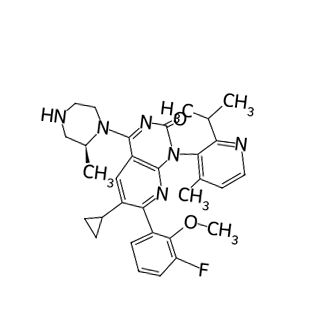 COc1c(F)cccc1-c1nc2c(cc1C1CC1)c(N1CCNC[C@@H]1C)nc(=O)n2-c1c(C)ccnc1C(C)C